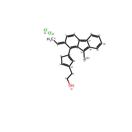 CC=c1ccc2c(c1C1=CC(CCO)=CC1)[C]([Zr+2])=c1ccccc1=2.[Cl-].[Cl-]